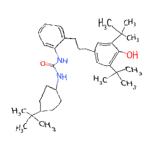 CC(C)(C)c1cc(CCc2ccccc2NC(=O)NC2CCC(C(C)(C)C)CC2)cc(C(C)(C)C)c1O